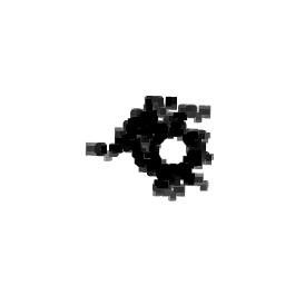 CC[C@H](C)CCCCC(=O)N[C@@H](CCNCS(=O)(=O)O)C(=O)N[C@H](C(=O)N[C@@H](CCNCS(=O)(=O)O)C(=O)N[C@H]1CCNC(=O)[C@H]([C@@H](C)O)NC(=O)[C@H](CCNCS(=O)(=O)O)NC(=O)[C@H](CCN)NC(=O)[C@H](CC(C)C)NC(=O)[C@@H](CC(C)C)NC(=O)[C@H](CCNCS(=O)(=O)O)NC1=O)[C@@H](C)O